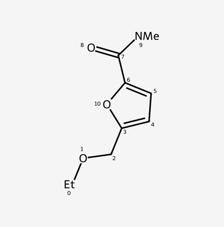 CCOCc1ccc(C(=O)NC)o1